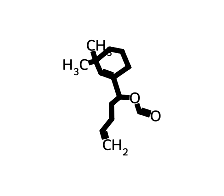 C=CCCC(OC=O)C1=CC(C)(C)CCC1